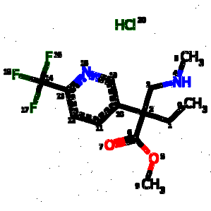 CCC(CNC)(C(=O)OC)c1ccc(C(F)(F)F)nc1.Cl